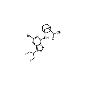 O=C(O)C1C2CCC(CC2)C1Nc1nc(Br)nc2c1ccn2C(CF)CF